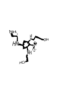 NCCNc1cc(NCCO)c([N+](=O)[O-])c(NCCO)c1